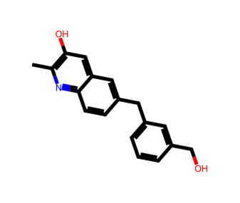 Cc1nc2ccc(Cc3cccc(CO)c3)cc2cc1O